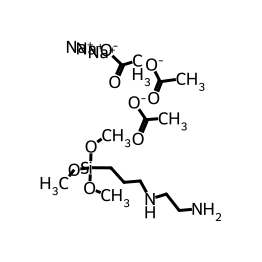 CC(=O)[O-].CC(=O)[O-].CC(=O)[O-].CO[Si](CCCNCCN)(OC)OC.[Na+].[Na+].[Na+]